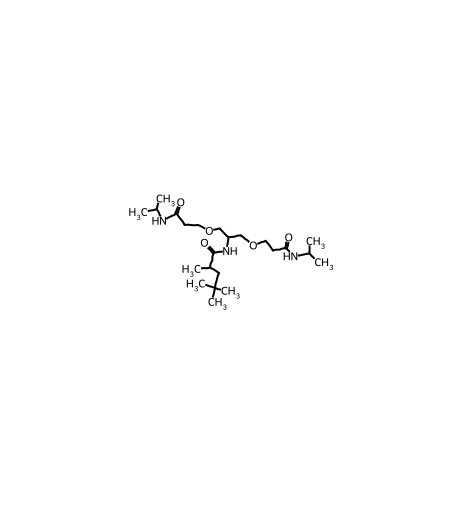 CC(C)NC(=O)CCOCC(COCCC(=O)NC(C)C)NC(=O)C(C)CC(C)(C)C